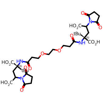 CC(C)(C)[C@](CC(C(=O)O)N1C(=O)CCC1=O)(NC(=O)CCOCCOCCC(=O)N[C@](CC(C(=O)O)N1C(=O)CCC1=O)(C(=O)O)C(C)(C)C)C(=O)O